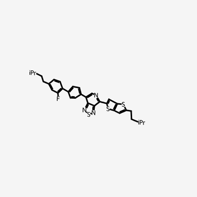 CC(C)CCc1ccc(-c2ccc(-c3cnc(-c4cc5sc(CCC(C)C)cc5s4)c4nsnc34)cc2)c(F)c1